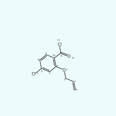 C=CCOc1cc(Cl)ccc1C(=O)Cl